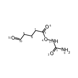 NC(=O)NOC(=O)CCCC=O